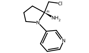 N[C@]1(CCl)CCCN1c1cccnc1